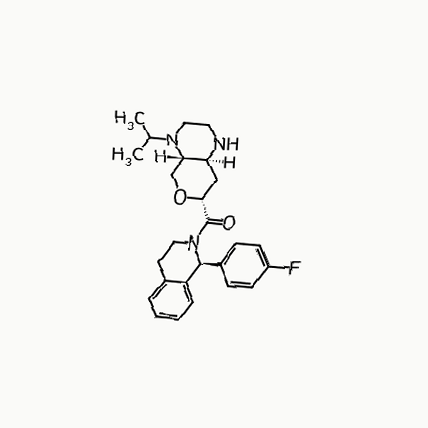 CC(C)N1CCN[C@H]2C[C@H](C(=O)N3CCc4ccccc4[C@@H]3c3ccc(F)cc3)OC[C@@H]21